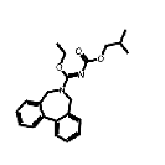 CCOC(=NC(=O)OCC(C)C)N1Cc2ccccc2-c2ccccc2C1